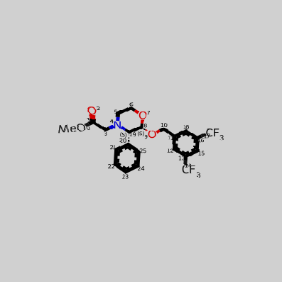 COC(=O)CN1CCO[C@H](OCc2cc(C(F)(F)F)cc(C(F)(F)F)c2)[C@@H]1c1ccccc1